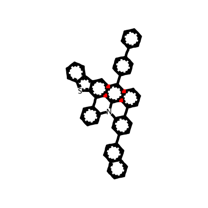 c1ccc(-c2ccc(-c3ccc(N(c4cc(-c5ccc6ccccc6c5)ccc4-c4ccccc4)c4ccccc4-c4cccc5c4sc4ccccc45)cc3)cc2)cc1